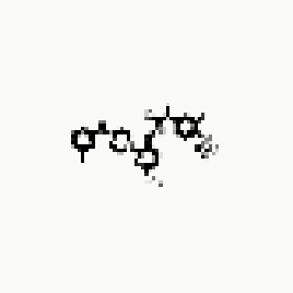 Cc1cccc(C(=O)N2CCN(c3nc(C(F)(F)F)ccc3CNC(=O)C(C)c3ccc(NS(C)(=O)=O)c(F)c3)CC2)c1